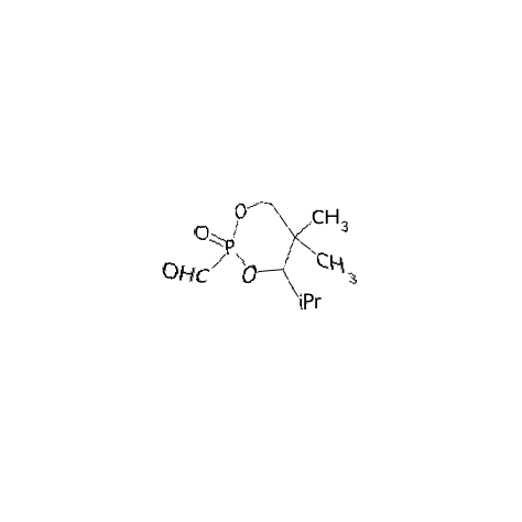 CC(C)C1OP(=O)(C=O)OCC1(C)C